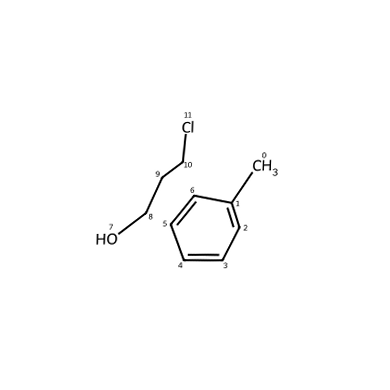 Cc1ccccc1.OCCCCl